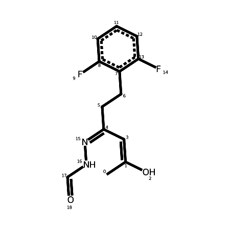 C/C(O)=C\C(CCc1c(F)cccc1F)=N/NC=O